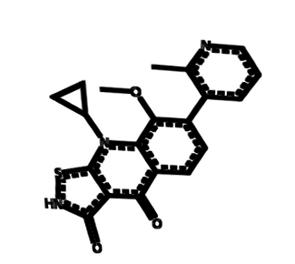 COc1c(-c2cccnc2C)ccc2c(=O)c3c(=O)[nH]sc3n(C3CC3)c12